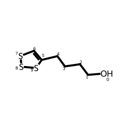 OCCCCC1=CSSS1